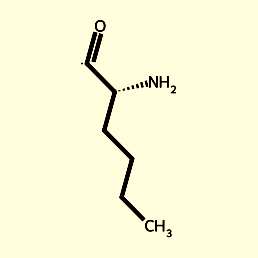 CCCC[C@@H](N)[C]=O